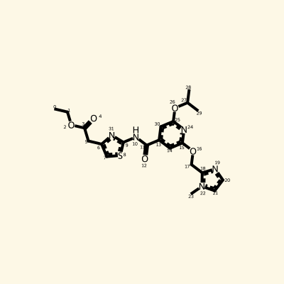 CCOC(=O)Cc1csc(NC(=O)c2cc(OCc3nccn3C)nc(OC(C)C)c2)n1